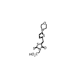 O=C(O)CN1C(=O)/C(=C/c2ccc(N3CCOCC3)s2)SC1=S